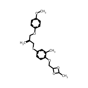 C=C(COc1ccc(OC)cc1)CSc1ccc(OCC2OC(C)O2)c(C)c1